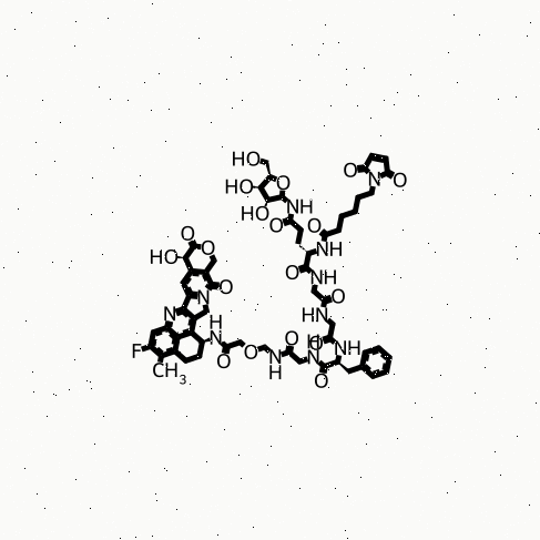 Cc1c(F)cc2nc3c(c4c2c1CC[C@@H]4NC(=O)COCNC(=O)CNC(=O)[C@H](Cc1ccccc1)NC(=O)CNC(=O)CNC(=O)[C@H](CCC(=O)NC1O[C@H](CO)[C@@H](O)[C@H]1O)NC(=O)CCCCCN1C(=O)C=CC1=O)Cn1c-3cc2c(c1=O)COC(=O)[C@H]2O